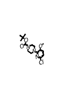 COc1ccc(Cl)nc1N1CCN(C(=O)OC(C)(C)C)CC1